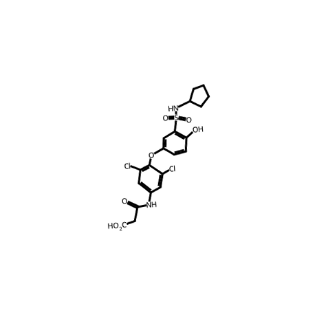 O=C(O)CC(=O)Nc1cc(Cl)c(Oc2ccc(O)c(S(=O)(=O)NC3CCCC3)c2)c(Cl)c1